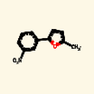 [CH2]c1ccc(-c2cccc([N+](=O)[O-])c2)o1